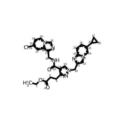 CCOC(=O)CCc1nn(Cc2cn3cc(C4CC4)ccc3n2)cc1C(=O)NCc1ncn2ccc(Cl)cc12